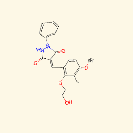 CCCOc1ccc(C=C2C(=O)NN(c3ccccc3)C2=O)c(OCCO)c1C